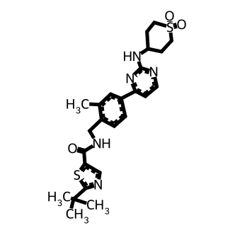 Cc1cc(-c2ccnc(NC3CCS(=O)(=O)CC3)n2)ccc1CNC(=O)c1cnc(C(C)(C)C)s1